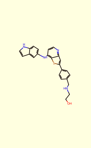 OCCNCc1ccc(-c2cc3nccc(Nc4ccc5[nH]ccc5c4)c3s2)cc1